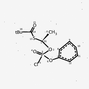 C[C@@H](OP(=O)(Cl)Oc1ccccc1)SC(=O)C(C)(C)C